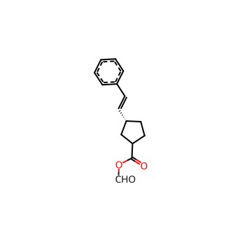 O=COC(=O)C1CC[C@@H](/C=C/c2ccccc2)C1